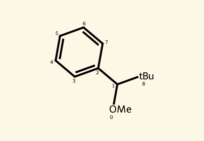 [CH2]OC(c1ccccc1)C(C)(C)C